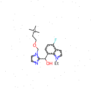 CCn1ccc2c(F)ccc(C(O)c3nccn3COCC[Si](C)(C)C)c21